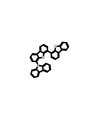 c1ccc2c(c1)oc1c(-c3cccc4c3oc3c(-n5c6ccccc6c6ccccc65)cccc34)cccc12